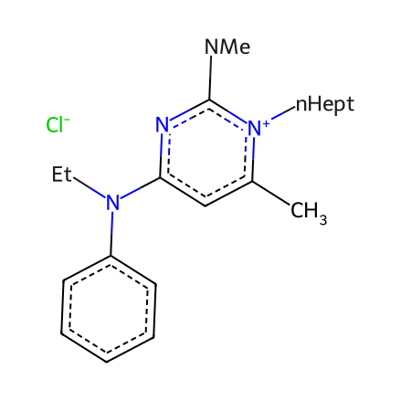 CCCCCCC[n+]1c(C)cc(N(CC)c2ccccc2)nc1NC.[Cl-]